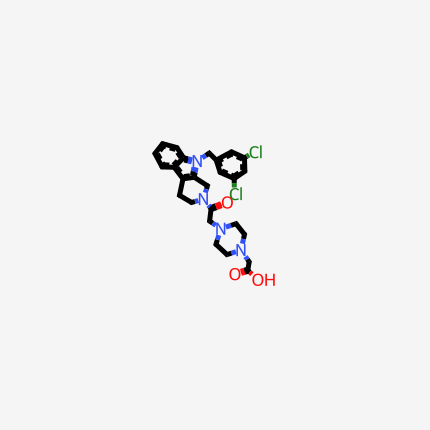 O=C(O)CN1CCN(CC(=O)N2CCc3c(n(Cc4cc(Cl)cc(Cl)c4)c4ccccc34)C2)CC1